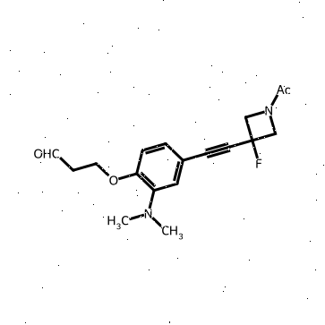 CC(=O)N1CC(F)(C#Cc2ccc(OCCC=O)c(N(C)C)c2)C1